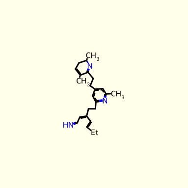 CC/C=C/C(=C\C=N)CCc1cc(CCC2=NC(C)CC=C2C)cc(C)n1